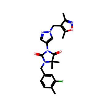 Cc1ccc(CN2C(=O)N(c3cnn(Cc4c(C)noc4C)c3)C(=O)C2(C)C)cc1F